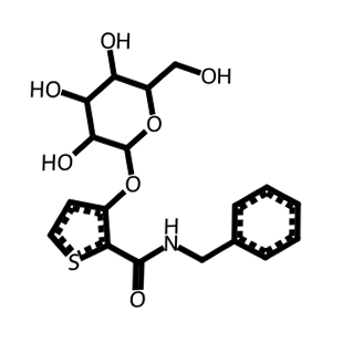 O=C(NCc1ccccc1)c1sccc1OC1OC(CO)C(O)C(O)C1O